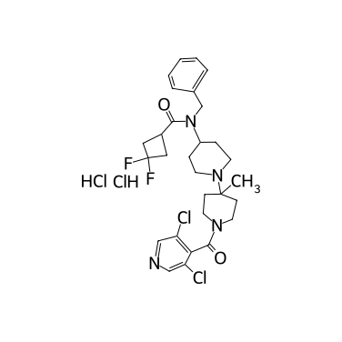 CC1(N2CCC(N(Cc3ccccc3)C(=O)C3CC(F)(F)C3)CC2)CCN(C(=O)c2c(Cl)cncc2Cl)CC1.Cl.Cl